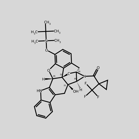 CC(C)(C)[Si](C)(C)Oc1ccc2c3c1O[C@H]1c4[nH]c5ccccc5c4C[C@@]4(O)[C@@H]5N(C(=O)C6(C(F)(F)F)CC6)[C@]5(C2)C[C@]314